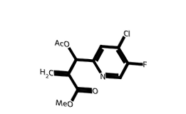 C=C(C(=O)OC)C(OC(C)=O)c1cc(Cl)c(F)cn1